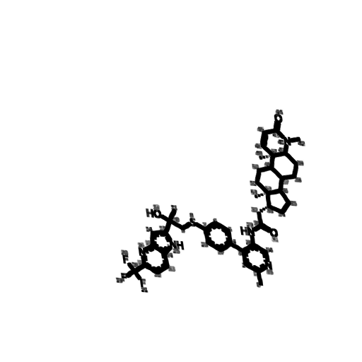 Cc1cc(-c2ccc(SCC(C)(O)c3cc4nc(C(F)(F)F)ccc4[nH]3)cc2)c(NC(=O)C[C@H]2CCC3C4CCC5N(C)C(=O)C=C[C@]5(C)C4CC[C@@]32C)cn1